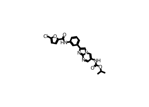 CC(C)OC(=O)Nc1cnc2nc(-c3cccc(NC(=O)c4ccc(Cl)o4)c3)cn2c1